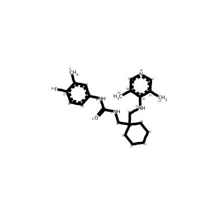 Cc1cc(NC(=O)NCC2(CNc3c(C)cncc3C)CCCCC2)ccc1F